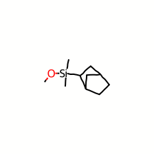 CO[Si](C)(C)C1CC2CCC1C2